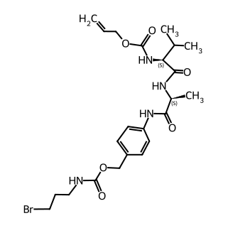 C=CCOC(=O)N[C@H](C(=O)N[C@@H](C)C(=O)Nc1ccc(COC(=O)NCCCBr)cc1)C(C)C